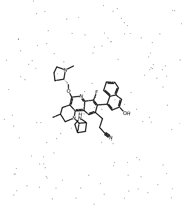 CC1Cc2c(OC[C@@H]3CCCN3C)nc3c(F)c(-c4cc(O)cc5ccccc45)c(CCC#N)cc3c2N(C2C3CNC2C3)C1